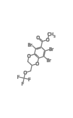 COC(=O)c1c(Br)c(Br)c2c(c1Br)OCC(COC(F)(F)F)O2